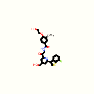 COc1cc(C(=O)NCC(=O)c2cc(CO)cc(-c3csc4c(F)cccc34)n2)ccc1OCCO